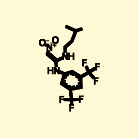 CC(C)CCN/C(=C\[N+](=O)[O-])Nc1cc(C(F)(F)F)cc(C(F)(F)F)c1